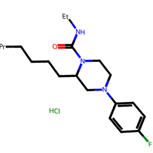 CCNC(=O)N1CCN(c2ccc(F)cc2)CC1CCCCC(C)C.Cl